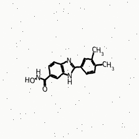 Cc1ccc(-c2nc3ccc(C(=O)NO)cc3[nH]2)cc1C